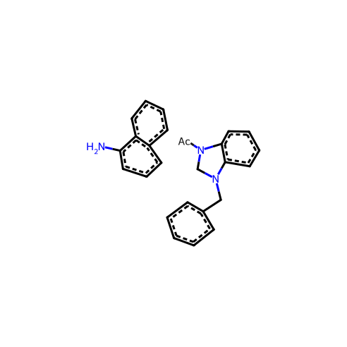 CC(=O)N1CN(Cc2ccccc2)c2ccccc21.Nc1cccc2ccccc12